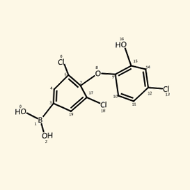 OB(O)c1cc(Cl)c(Oc2ccc(Cl)cc2O)c(Cl)c1